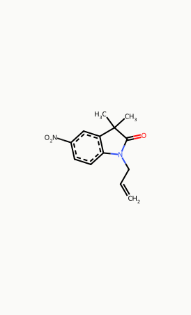 C=CCN1C(=O)C(C)(C)c2cc([N+](=O)[O-])ccc21